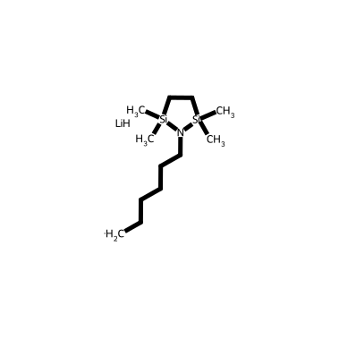 [CH2]CCCCCN1[Si](C)(C)CC[Si]1(C)C.[LiH]